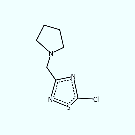 Clc1nc(CN2CCCC2)ns1